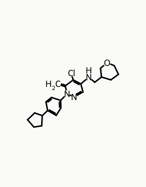 C=C1C(Cl)=C(NCC2CCCOC2)C=NN1c1ccc(C2CCCC2)cc1